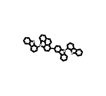 c1ccc2c(c1)sc1c(-n3c4ccccc4c4cc(-c5ccc6c7c5ccc5cccc(c57)n6-c5cccc6c5sc5ccccc56)ccc43)cccc12